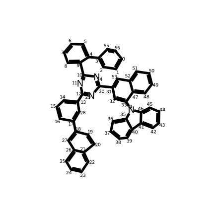 c1ccc(-c2ccccc2-c2nc(-c3cccc(-c4ccc5ccccc5c4)c3)nc(-c3cc(-n4c5ccccc5c5ccccc54)c4ccccc4c3)n2)cc1